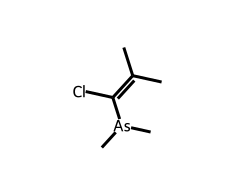 CC(C)=C(Cl)[As](C)C